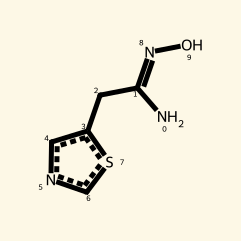 N/C(Cc1cncs1)=N\O